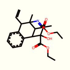 C=CC1c2ccccc2C2C(C(=O)OCC)C1(C)N=C(C)C2(O)C(=O)OCC